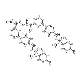 CC(C)(CNc1ccc(-c2cccc(C(=O)NCCN(C=O)c3cccc(-c4ccc(NCC(C)(C)c5ccc(F)cc5)nn4)c3)c2)nn1)c1ccc(F)cc1